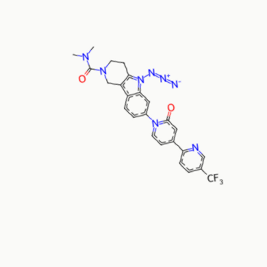 CN(C)C(=O)N1CCc2c(c3ccc(-n4ccc(-c5ccc(C(F)(F)F)cn5)cc4=O)cc3n2N=[N+]=[N-])C1